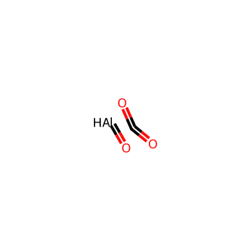 O=C=O.[O]=[AlH]